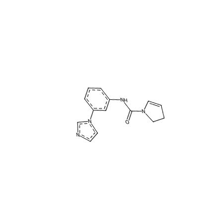 O=C(Nc1cccc(-n2ccnc2)c1)N1C=CCC1